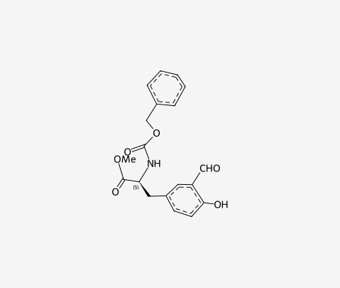 COC(=O)[C@H](Cc1ccc(O)c(C=O)c1)NC(=O)OCc1ccccc1